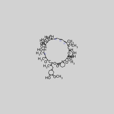 [2H]C1([2H])C[C@H]2C[C@H](OC)/C(C)=C/C=C/C=C/[C@@]([2H])(C)C([2H])(C)[C@@H](C)C(=O)[C@H](OC)[C@H](O)/C(C)=C/[C@@H](C)C(=O)C[C@@H]([C@H](C)C[C@@H]3CC[C@@H](O)[C@H](OC)C3)OC(=O)[C@@H]3CCCCN3C(=O)C(=O)[C@](O)(O2)[C@@H]1C